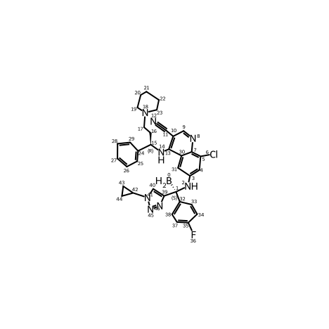 B[C@](Nc1cc(Cl)c2ncc(C#N)c(N[C@H](CCN3CCCCC3)c3ccccc3)c2c1)(c1ccc(F)cc1)c1cn(C2CC2)nn1